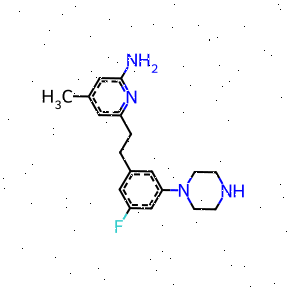 Cc1cc(N)nc(CCc2cc(F)cc(N3CCNCC3)c2)c1